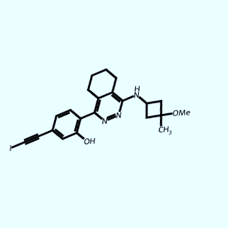 COC1(C)CC(Nc2nnc(-c3ccc(C#CI)cc3O)c3c2CCCC3)C1